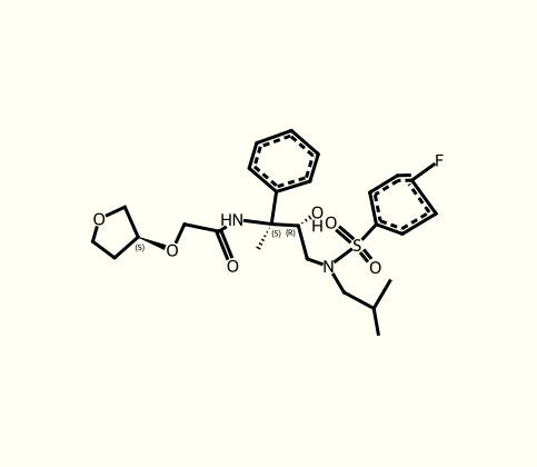 CC(C)CN(C[C@@H](O)[C@@](C)(NC(=O)CO[C@H]1CCOC1)c1ccccc1)S(=O)(=O)c1ccc(F)cc1